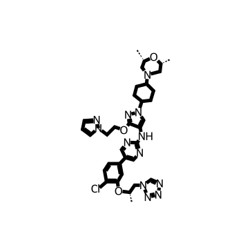 C[C@@H]1CN(C2CCC(n3cc(Nc4ncc(-c5ccc(Cl)c(O[C@@H](C)Cn6cnnn6)c5)cn4)c(OCCn4cccn4)n3)CC2)C[C@H](C)O1